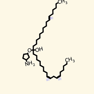 CCCCC/C=C\C/C=C\CCCCCCCCC(O)(CCCCCCCCC/C=C/CCCCC)OC1CCC(N)C1